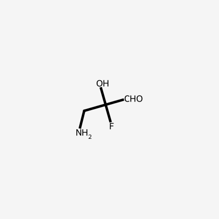 NCC(O)(F)C=O